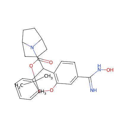 CC(C)(C)OC(=O)N1C2CCC1CC(C1c3ccccc3Oc3cc(C(=N)NO)ccc31)C2